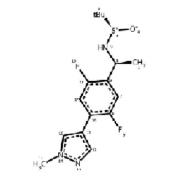 C[C@H](N[S@+]([O-])C(C)(C)C)c1cc(F)c(-c2cnn(C)c2)cc1F